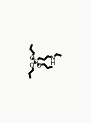 CCCO[Si](CCCNCC)(OCCC)OCCC